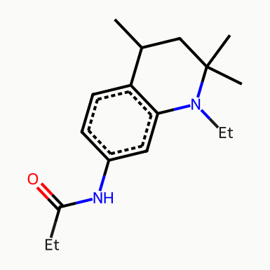 CCC(=O)Nc1ccc2c(c1)N(CC)C(C)(C)CC2C